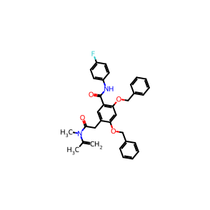 C=C(C)N(C)C(=O)Cc1cc(C(=O)Nc2ccc(F)cc2)c(OCc2ccccc2)cc1OCc1ccccc1